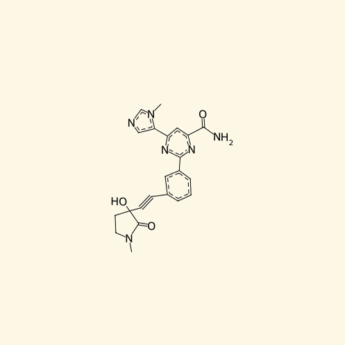 CN1CCC(O)(C#Cc2cccc(-c3nc(C(N)=O)cc(-c4cncn4C)n3)c2)C1=O